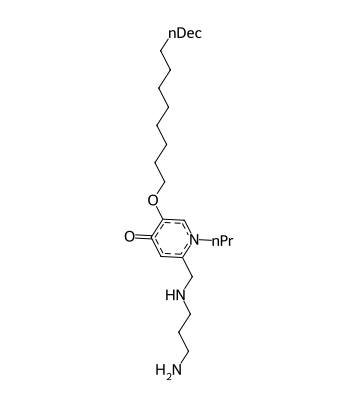 CCCCCCCCCCCCCCCCCCOc1cn(CCC)c(CNCCCN)cc1=O